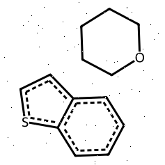 C1CCOCC1.c1ccc2sccc2c1